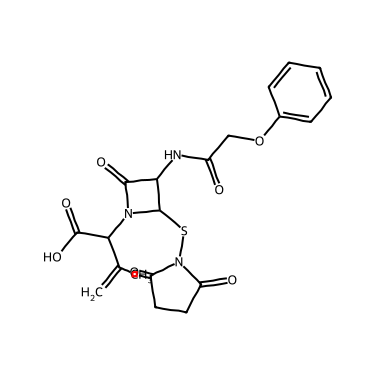 C=C(C)C(C(=O)O)N1C(=O)C(NC(=O)COc2ccccc2)C1SN1C(=O)CCC1=O